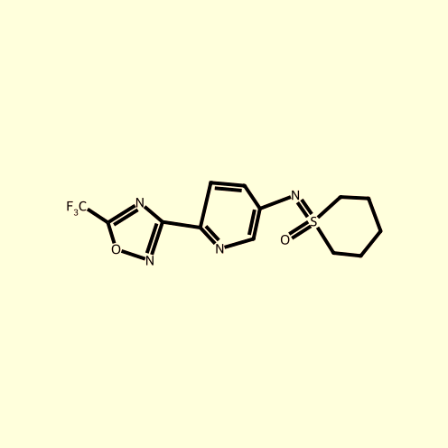 O=S1(=Nc2ccc(-c3noc(C(F)(F)F)n3)nc2)CCCCC1